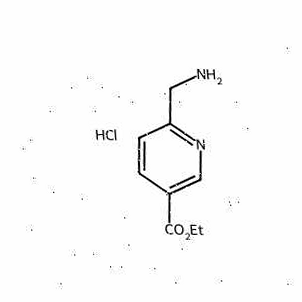 CCOC(=O)c1ccc(CN)nc1.Cl